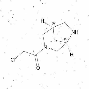 O=C(CCl)N1C[C@H]2CN[C@H](C2)C1